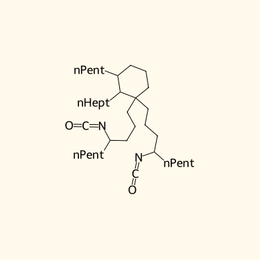 CCCCCCCC1C(CCCCC)CCCC1(CCCC(CCCCC)N=C=O)CCCC(CCCCC)N=C=O